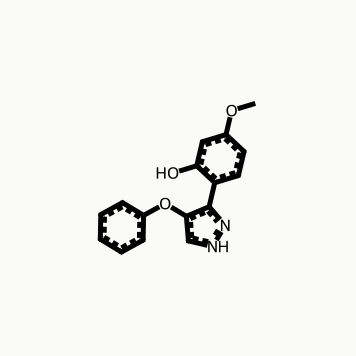 COc1ccc(-c2n[nH]cc2Oc2ccccc2)c(O)c1